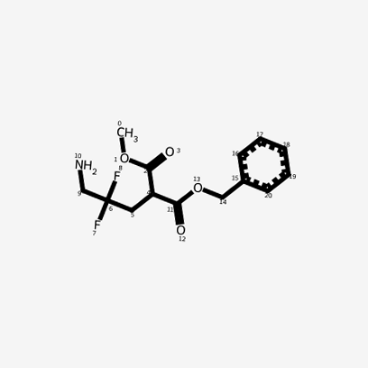 COC(=O)C(CC(F)(F)CN)C(=O)OCc1ccccc1